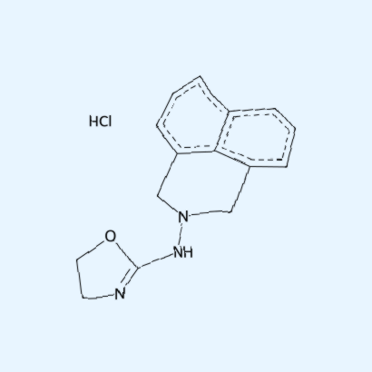 Cl.c1cc2c3c(cccc3c1)CN(NC1=NCCO1)C2